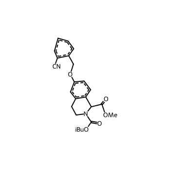 COC(=O)C1c2ccc(OCc3ccccc3C#N)cc2CCN1C(=O)OCC(C)C